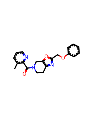 Cc1cccnc1C(=O)N1CCc2nc(COc3ccccc3)oc2C1